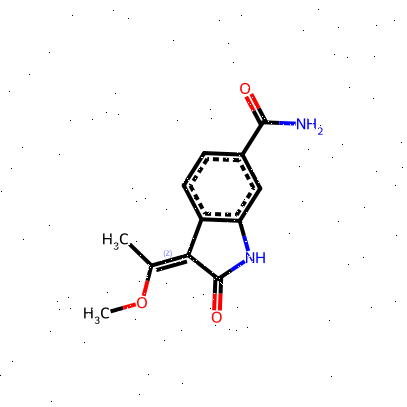 CO/C(C)=C1\C(=O)Nc2cc(C(N)=O)ccc21